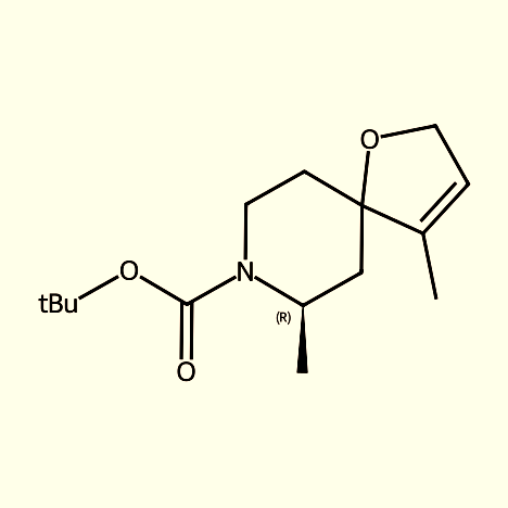 CC1=CCOC12CCN(C(=O)OC(C)(C)C)[C@H](C)C2